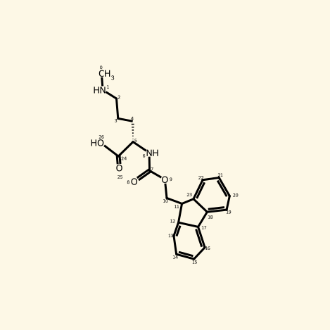 CNCCC[C@H](NC(=O)OCC1c2ccccc2-c2ccccc21)C(=O)O